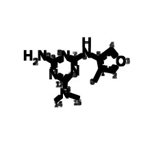 Cc1cocc1Nc1nc(N)nc(N(C)C)n1